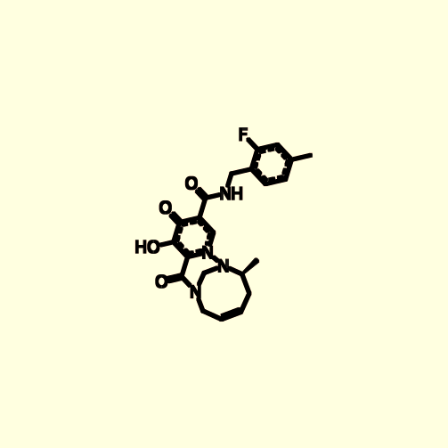 Cc1ccc(CNC(=O)c2cn3c(c(O)c2=O)C(=O)N2C/C=C\C[C@H](C)N3C2)c(F)c1